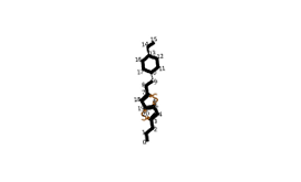 CCCc1cc2sc(CC[C@H]3CC[C@H](CC)CC3)cc2s1